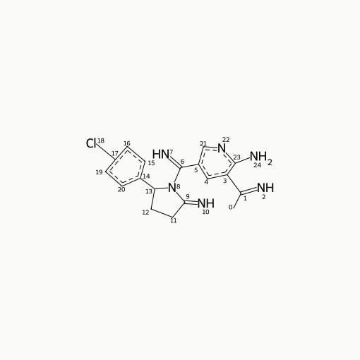 CC(=N)c1cc(C(=N)N2C(=N)CCC2c2ccc(Cl)cc2)cnc1N